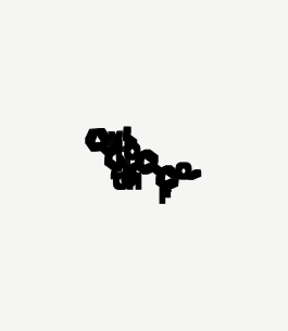 CCCOc1ccc(-c2cc(F)cc(OCC)c2)cc1C(=O)N[C@@H](CO)Cc1cn(C)c2ccccc12